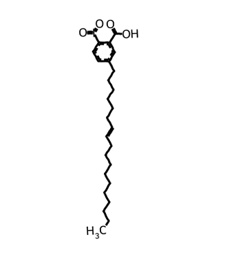 CCCCCCCCCC/C=C/CCCCCCc1ccc(I(=O)=O)c(C(=O)O)c1